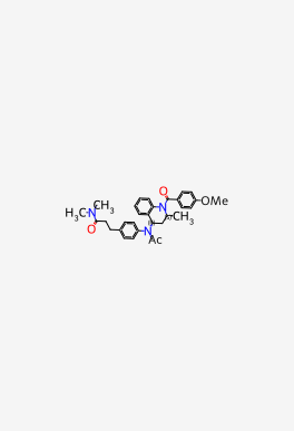 COc1ccc(C(=O)N2c3ccccc3[C@H](N(C(C)=O)c3ccc(CCC(=O)N(C)C)cc3)C[C@@H]2C)cc1